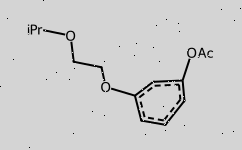 CC(=O)Oc1cccc(OCCOC(C)C)c1